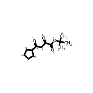 CC(C)(C)OC(=O)C(=O)CC(=O)C1CCCC1